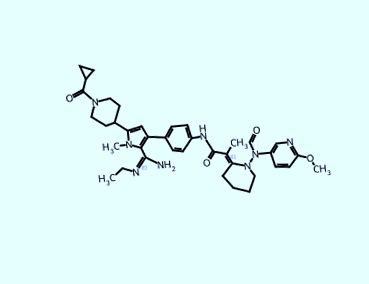 CC/N=C(/N)c1c(-c2ccc(NC(=O)/C(C)=C3\CCCCN3N(C=O)c3ccc(OC)nc3)cc2)cc(C2CCN(C(=O)C3CC3)CC2)n1C